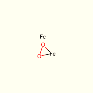 [Fe].[O]1[O][Fe]1